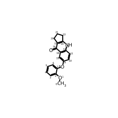 COc1ccccc1Oc1ccc2[nH]c3c(c(=O)c2c1)CCC3